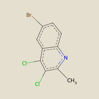 Cc1nc2ccc(Br)cc2c(Cl)c1Cl